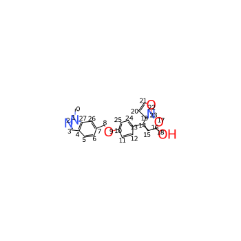 Cn1ncc2ccc(COc3ccc([C@H](CC(=O)O)c4ccon4)cc3)cc21